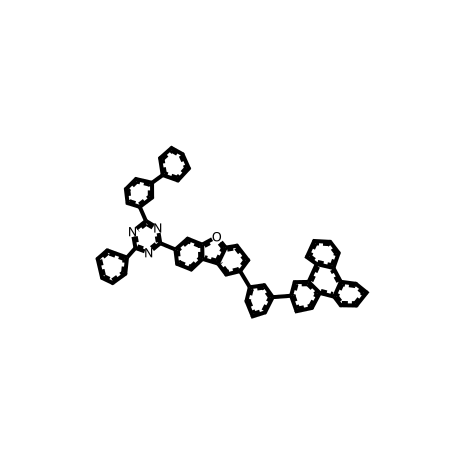 c1ccc(-c2cccc(-c3nc(-c4ccccc4)nc(-c4ccc5c(c4)oc4ccc(-c6cccc(-c7ccc8c9ccccc9c9ccccc9c8c7)c6)cc45)n3)c2)cc1